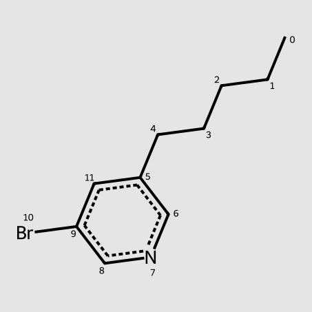 CCCCCc1cncc(Br)c1